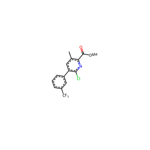 COC(=O)c1nc(Cl)c(-c2cccc(C(F)(F)F)c2)cc1C